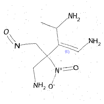 CC(N)/C(=C\N)C(CN)(CN=O)[N+](=O)[O-]